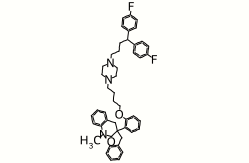 CN1C(=O)C(Cc2ccccc2)(c2ccccc2OCCCCN2CCN(CCCC(c3ccc(F)cc3)c3ccc(F)cc3)CC2)Cc2ccccc21